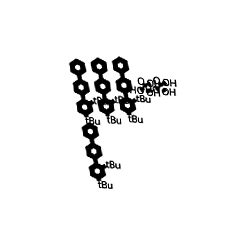 CC(C)(C)c1ccc(-c2ccc(-c3ccccc3)cc2)c(C(C)(C)C)c1.CC(C)(C)c1ccc(-c2ccc(-c3ccccc3)cc2)c(C(C)(C)C)c1.CC(C)(C)c1ccc(-c2ccc(-c3ccccc3)cc2)c(C(C)(C)C)c1.CC(C)(C)c1ccc(-c2ccc(-c3ccccc3)cc2)c(C(C)(C)C)c1.O=P(O)(O)O.O=P(O)(O)O